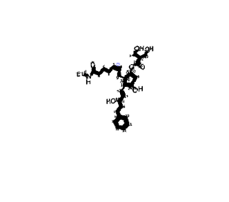 CCNC(=O)CCC/C=C\C[C@@H]1[C@H](C=C[C@@H](O)CCc2ccccc2)[C@H](O)C[C@@H]1OC(=O)C(CO)CO